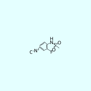 [C-]#[N+]c1ccc(NS(C)(=O)=O)c(F)c1